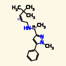 C[C@@H](NC/C=C\C(C)(C)C)c1cc(-c2ccccc2)n(C)n1